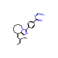 C/C=C(\C=C1\CCCCCn2c1cnc2-c1ccc(C(=N)/N=C\N)cc1)CCCC